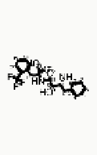 N[C@H](Cc1ccccc1)[C@H](O)C(=O)NC(Cc1ccccc1C(F)(F)F)C(=O)O